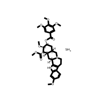 COC(=O)[C@H]1[C@H]2C[C@@H]3c4[nH]c5cc(OC)ccc5c4CCN3C[C@H]2C[C@@H](OC(=O)c2cc(OC)c(OC)c(OC)c2)[C@@H]1OC.[SiH4]